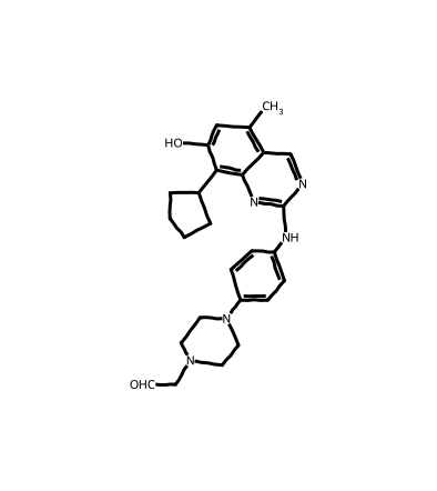 Cc1cc(O)c(C2CCCC2)c2nc(Nc3ccc(N4CCN(CC=O)CC4)cc3)ncc12